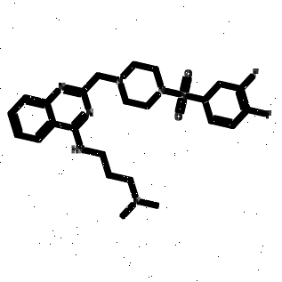 CN(C)CCCNc1nc(CN2CCN(S(=O)(=O)C3C=CC(F)=C(F)C3)CC2)nc2ccccc12